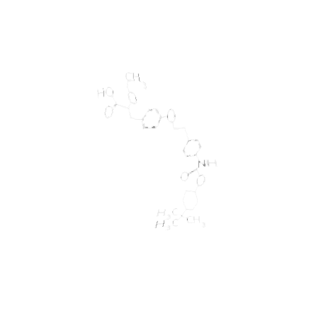 CCO[C@@H](Cc1ccc(OCCc2ccc(NC(=O)OC3CCC(C(C)(C)C)CC3)cc2)cc1)C(=O)O